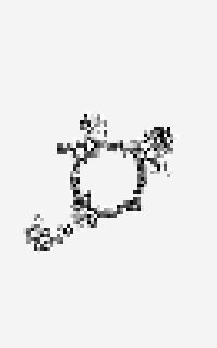 COCCC1(C)C2=Nc3c1cc(Br)c[n+]3CCOCCC(=O)NC(C(=O)NCCOCCC(=O)ON1C(=O)CCC1=O)CCCCNC(=O)CCOCCN1/C(=C/C=C/C=C/2)C(C)(CCOC)c2cc(S(=O)(=O)[O-])cc(C)c21